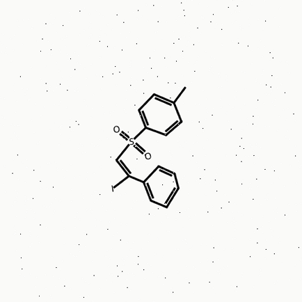 Cc1ccc(S(=O)(=O)/C=C(/I)c2ccccc2)cc1